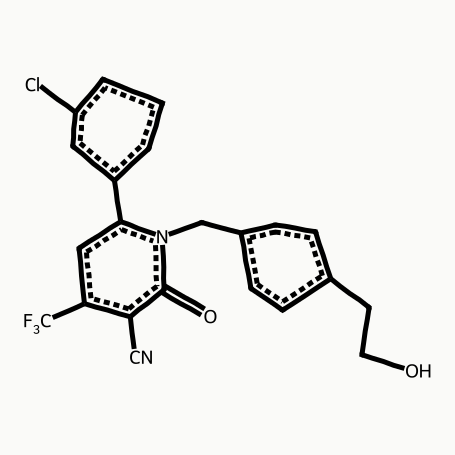 N#Cc1c(C(F)(F)F)cc(-c2cccc(Cl)c2)n(Cc2ccc(CCO)cc2)c1=O